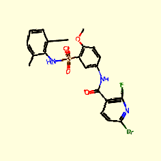 COc1ccc(NC(=O)c2ccc(Br)nc2F)cc1S(=O)(=O)Nc1c(C)cccc1C